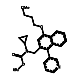 COCCCOc1cc(CN(C(=O)OC(C)(C)C)C2CC2)c(-c2cccnc2)c2ccccc12